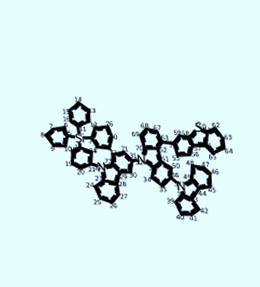 c1ccc([Si](c2ccccc2)(c2ccccc2)c2cccc(-n3c4ccccc4c4cc(-n5c6ccc(-n7c8ccccc8c8ccccc87)cc6c6c(-c7ccc8c(c7)sc7ccccc78)cccc65)ccc43)c2)cc1